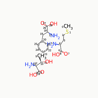 CSCC[C@H](N)C(=O)O.C[C@@H](O)[C@H](N)C(=O)O.N[C@@H](Cc1ccccc1)C(=O)O